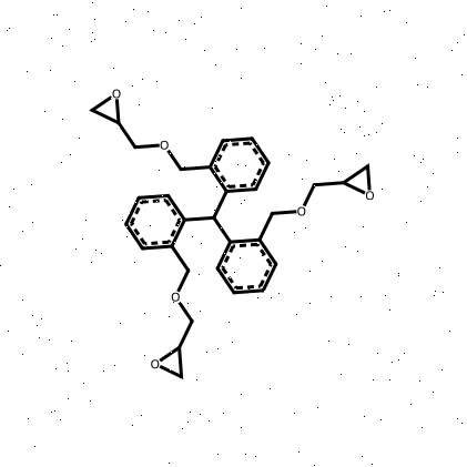 c1ccc(C(c2ccccc2COCC2CO2)c2ccccc2COCC2CO2)c(COCC2CO2)c1